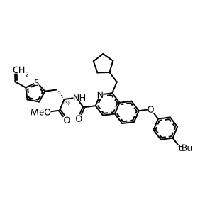 C=Cc1ccc(C[C@H](NC(=O)c2cc3ccc(Oc4ccc(C(C)(C)C)cc4)cc3c(CC3CCCC3)n2)C(=O)OC)s1